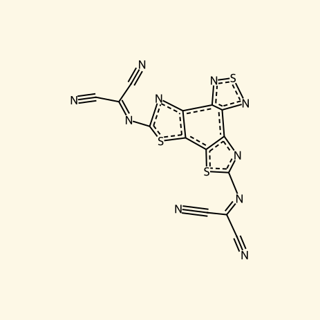 N#CC(C#N)=Nc1nc2c3nsnc3c3nc(N=C(C#N)C#N)sc3c2s1